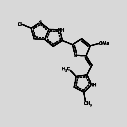 COC1=CC(c2cc3cc(Cl)sc3[nH]2)=NC1=Cc1[nH]c(C)cc1C